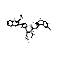 COc1nc2ccccc2cc1-c1cnc(C2CS(=O)(=O)CCN2C(=O)Cc2c(C)[nH]c3ccc(F)cc23)[nH]1